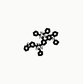 c1ccc(-c2nc(-c3ccc(-c4ccc5c6ccccc6n(-c6ccccc6)c5c4)c(-c4nc(-c5ccccc5)nc(-c5ccccc5)n4)c3)nc(-c3ccc4sc5ccccc5c4c3)n2)cc1